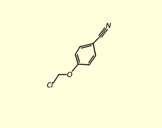 N#Cc1ccc(OCCl)cc1